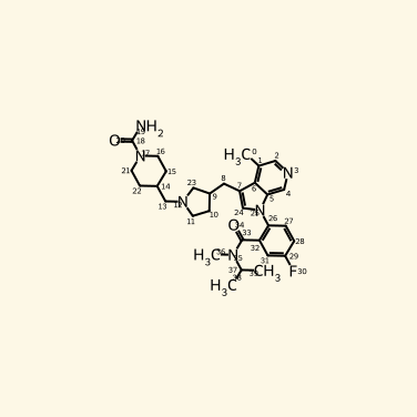 Cc1cncc2c1c(CC1CCN(CC3CCN(C(N)=O)CC3)C1)cn2-c1ccc(F)cc1C(=O)N(C)C(C)C